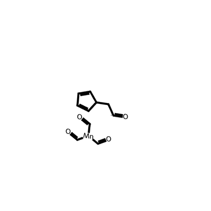 O=[CH][Mn]([CH]=O)[CH]=O.O=[C]CC1C=CC=C1